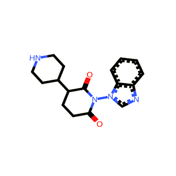 O=C1CCC(C2CCNCC2)C(=O)N1n1cnc2ccccc21